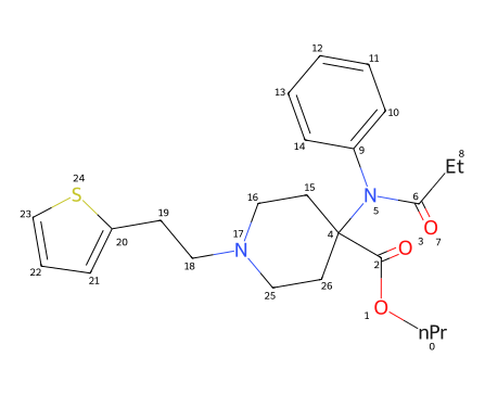 CCCOC(=O)C1(N(C(=O)CC)c2ccccc2)CCN(CCc2cccs2)CC1